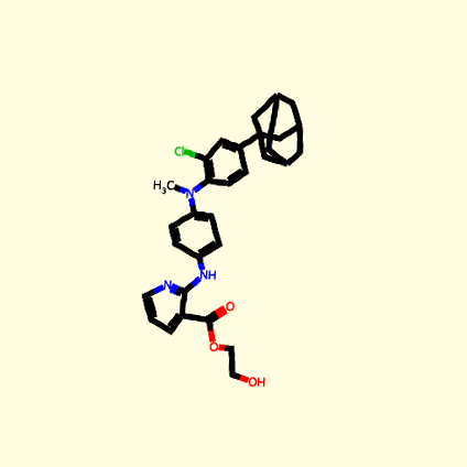 CN(c1ccc(Nc2ncccc2C(=O)OCCO)cc1)c1ccc(C23CC4CC(CC(C4)C2)C3)cc1Cl